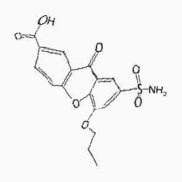 CCCOc1cc(S(N)(=O)=O)cc2c(=O)c3cc(C(=O)O)ccc3oc12